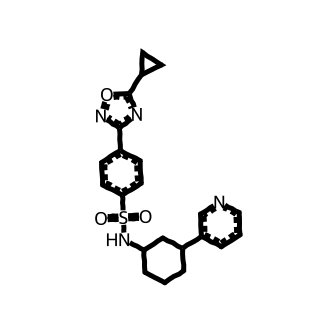 O=S(=O)(NC1CCCC(c2cccnc2)C1)c1ccc(-c2noc(C3CC3)n2)cc1